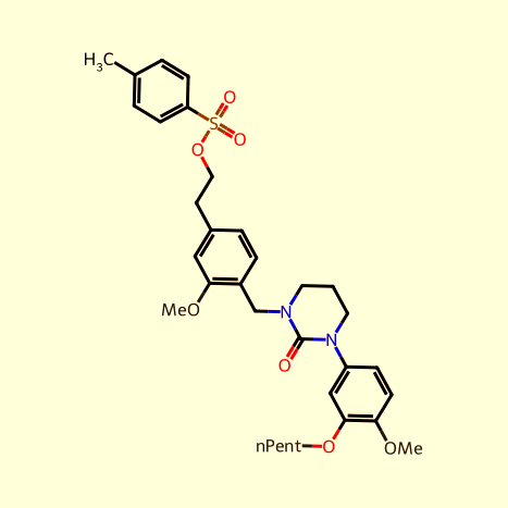 CCCCCOc1cc(N2CCCN(Cc3ccc(CCOS(=O)(=O)c4ccc(C)cc4)cc3OC)C2=O)ccc1OC